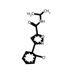 CC(C)NC(=O)c1cc(-c2ccccc2Cl)no1